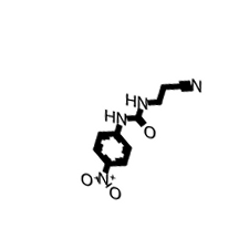 N#CCCNC(=O)Nc1ccc([N+](=O)[O-])cc1